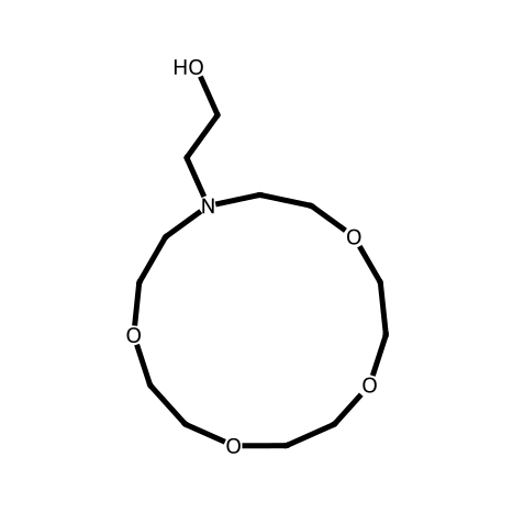 OCCN1CCOCCOCCOCCOCC1